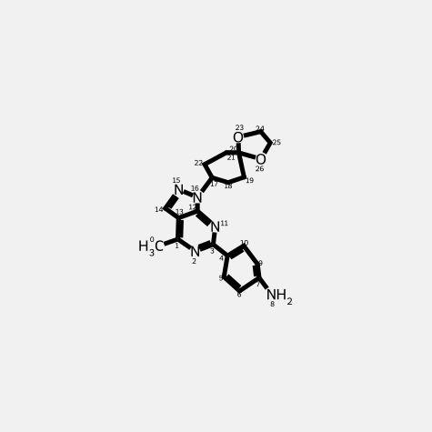 Cc1nc(-c2ccc(N)cc2)nc2c1cnn2C1CCC2(CC1)OCCO2